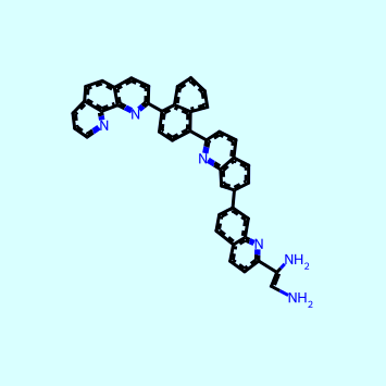 N/C=C(\N)c1ccc2ccc(-c3ccc4ccc(-c5ccc(-c6ccc7ccc8cccnc8c7n6)c6ccccc56)nc4c3)cc2n1